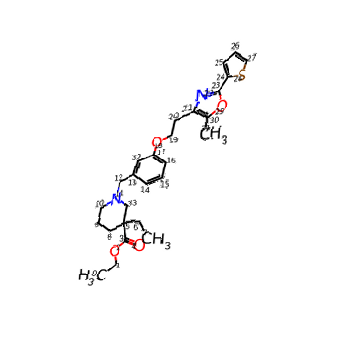 CCOC(=O)C1(CC)CCCN(Cc2cccc(OCCc3nc(-c4cccs4)oc3C)c2)C1